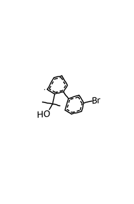 CC(C)(O)c1[c]cccc1-c1cccc(Br)c1